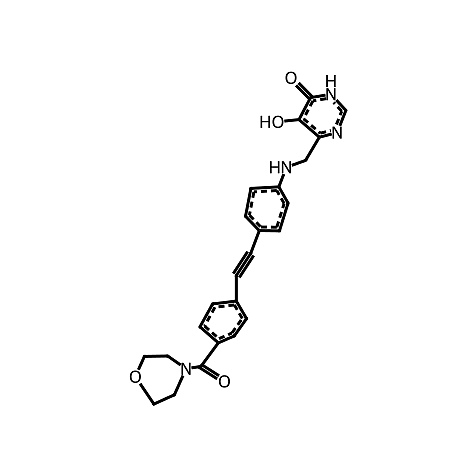 O=C(c1ccc(C#Cc2ccc(NCc3nc[nH]c(=O)c3O)cc2)cc1)N1CCOCC1